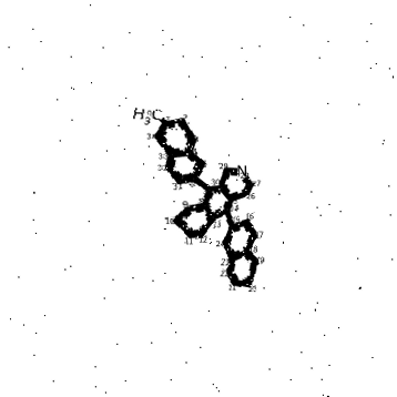 Cc1ccc2cc(-c3c4ccccc4c(-c4ccc5ccccc5c4)c4ccncc34)ccc2c1